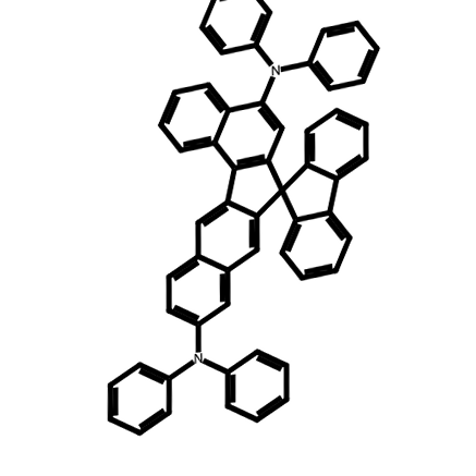 c1ccc(N(c2ccccc2)c2ccc3cc4c(cc3c2)C2(c3ccccc3-c3ccccc32)c2cc(N(c3ccccc3)c3ccccc3)c3ccccc3c2-4)cc1